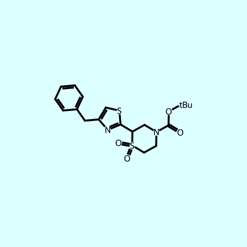 CC(C)(C)OC(=O)N1CCS(=O)(=O)C(c2nc(Cc3ccccc3)cs2)C1